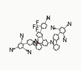 N#Cc1cc(C#N)c(-c2ccc3c(c2)c2ccccc2n3-c2ccc(C#N)c(-c3cc(-c4ccc(C#N)cc4C(F)(F)F)ccc3-n3c4ccccc4c4cc(-c5c(C#N)cc(C#N)cc5C#N)ccc43)c2)c(C#N)c1